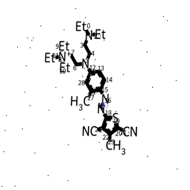 CCN(CC)CCN(CC[N+](CC)(CC)CC)c1ccc(/N=N/c2sc(C#N)c(C)c2C#N)c(C)c1